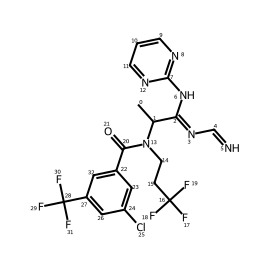 CC(/C(=N/C=N)Nc1ncccn1)N(CCC(F)(F)F)C(=O)c1cc(Cl)cc(C(F)(F)F)c1